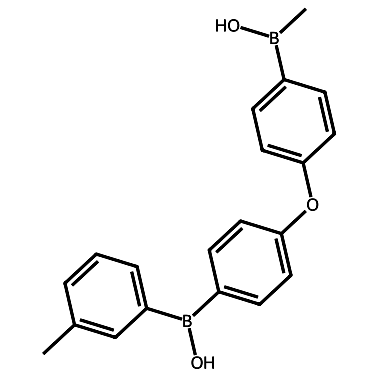 CB(O)c1ccc(Oc2ccc(B(O)c3cccc(C)c3)cc2)cc1